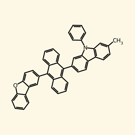 Cc1ccc2c3ccc(-c4c5ccccc5c(-c5ccc6oc7ccccc7c6c5)c5ccccc45)cc3n(-c3ccccc3)c2c1